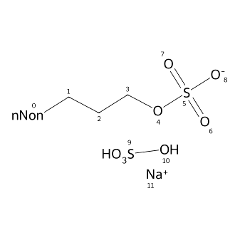 CCCCCCCCCCCCOS(=O)(=O)[O-].O=S(=O)(O)O.[Na+]